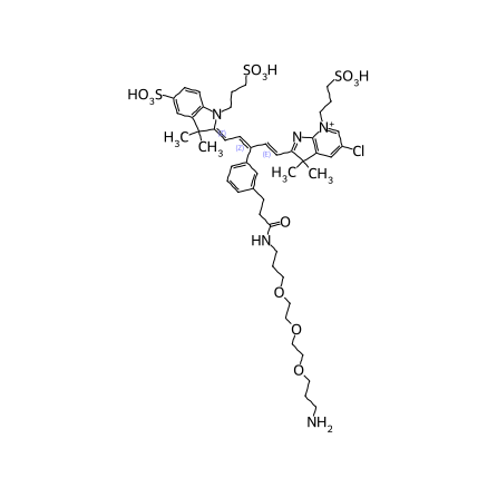 CC1(C)C(/C=C/C(=C/C=C2\N(CCCS(=O)(=O)O)c3ccc(S(=O)(=O)O)cc3C2(C)C)c2cccc(CCC(=O)NCCCOCCOCCOCCCN)c2)=Nc2c1cc(Cl)c[n+]2CCCS(=O)(=O)O